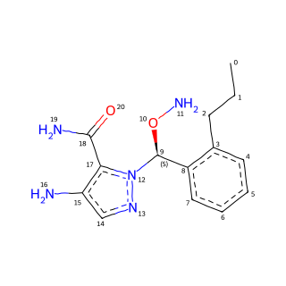 CCCc1ccccc1[C@H](ON)n1ncc(N)c1C(N)=O